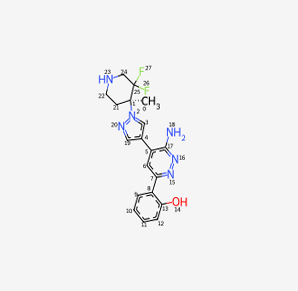 C[C@]1(n2cc(-c3cc(-c4ccccc4O)nnc3N)cn2)CCNCC1(F)F